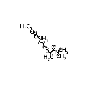 CCOOO[SiH2]CCCSCC(C)C(=O)N(C)C